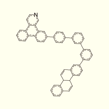 C1=CC2c3ccc(-c4cccc(-c5cccc(-c6ccc(-c7ccc8c9ccccc9c9ccncc9c8c7)cc6)c5)c4)cc3C=CC2c2ccccc21